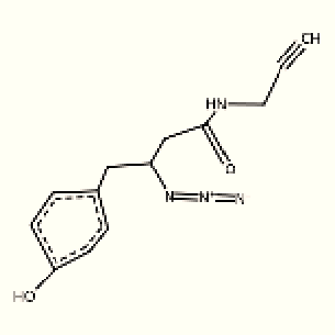 C#CCNC(=O)CC(Cc1ccc(O)cc1)N=[N+]=[N-]